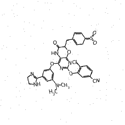 CN(C)c1cc(Oc2nc(Oc3cc(C#N)ccc3Cl)nc3c2NC(=O)C(CC2=CCC(=S(=O)=O)C=C2)O3)cc(C2=NCCN2)c1